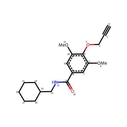 C#CCOc1c(OC)cc(C(=O)NCC2CCCCC2)cc1OC